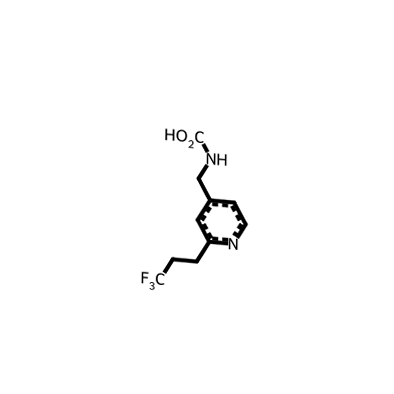 O=C(O)NCc1ccnc(CCC(F)(F)F)c1